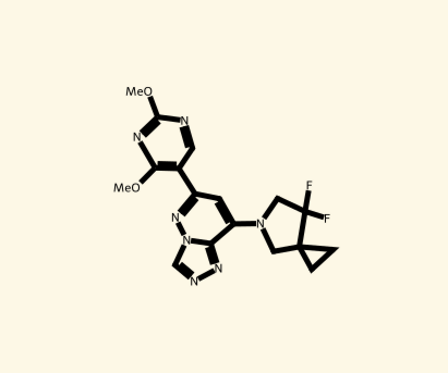 COc1ncc(-c2cc(N3CC(F)(F)C4(CC4)C3)c3nncn3n2)c(OC)n1